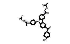 CC(=O)O/N=C(\C)c1ccc(-n2c3ccc(C(=O)c4ccc(S)cc4)cc3c3cc(/C(C)=N/OC(C)=O)ccc32)cc1